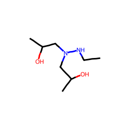 CCNN(CC(C)O)CC(C)O